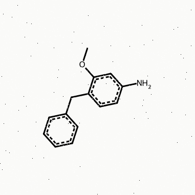 COc1cc(N)ccc1Cc1ccccc1